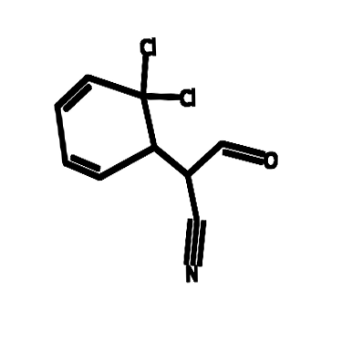 N#CC(C=O)C1C=CC=CC1(Cl)Cl